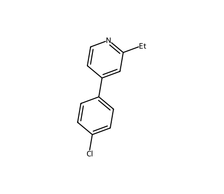 CCc1cc(-c2ccc(Cl)cc2)ccn1